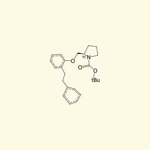 CC(C)(C)OC(=O)N1CCC[C@@H]1COc1ccccc1CCc1ccccc1